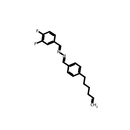 C=CCCCCc1ccc(/C=N/N=C/c2ccc(F)c(F)c2)cc1